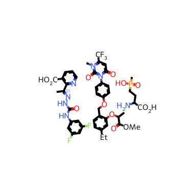 C/C(=N\NC(=O)Nc1cc(F)cc(F)c1)c1ncccc1C(=O)O.CCc1ccc(COc2ccc(-n3c(=O)cc(C(F)(F)F)n(C)c3=O)cc2)c(OC(C)C(=O)OC)c1.CP(=O)(O)CCC(N)C(=O)O